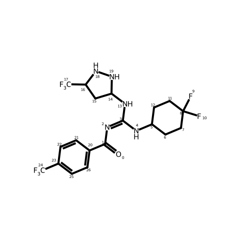 O=C(/N=C(\NC1CCC(F)(F)CC1)NC1CC(C(F)(F)F)NN1)c1ccc(C(F)(F)F)cc1